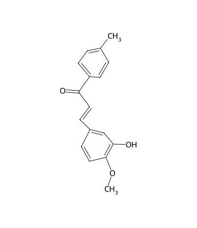 COc1ccc(C=CC(=O)c2ccc(C)cc2)cc1O